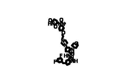 Cn1c(=O)n(C2CCC(=O)NC2=O)c2ccc(OCCCN3CCN(c4ccc(C(=O)Nc5n[nH]c6ccc(Cc7cc(F)cc(F)c7)cc56)c(NC5CCOCC5)c4)CC3)cc21